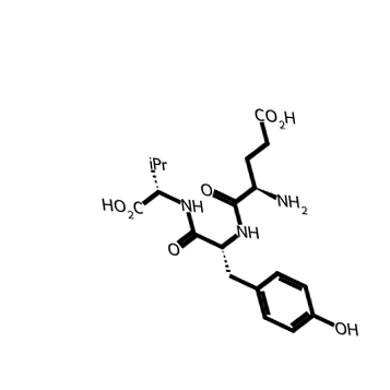 CC(C)[C@H](NC(=O)[C@@H](Cc1ccc(O)cc1)NC(=O)[C@H](N)CCC(=O)O)C(=O)O